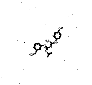 C=C(C)/N=C(\N=C(/N)Nc1ccc(OC)cc1)Nc1cccc(CO)c1